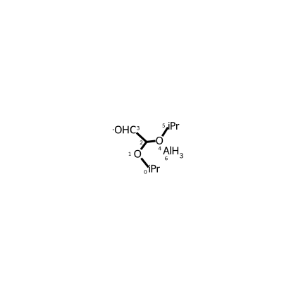 CC(C)OC([C]=O)OC(C)C.[AlH3]